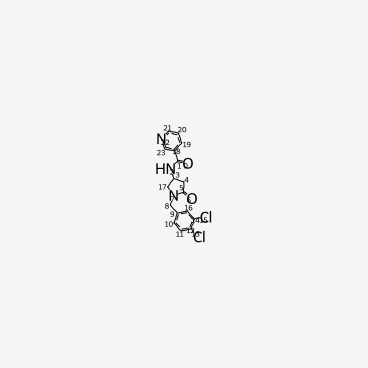 O=C(NC1CC(=O)N(Cc2ccc(Cl)c(Cl)c2)C1)c1cccnc1